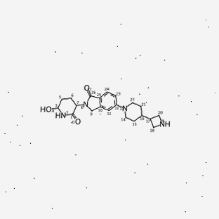 O=C1NC(O)CCC1N1Cc2cc(N3CCC(C4CNC4)CC3)ccc2C1=O